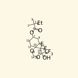 CCC(C)(C)C(=O)OC1CCC2(CC1)OCOC(O)(C(F)(F)F)C2(F)F